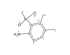 Cc1ccc(N)c([Si](C)(Cl)Cl)c1C